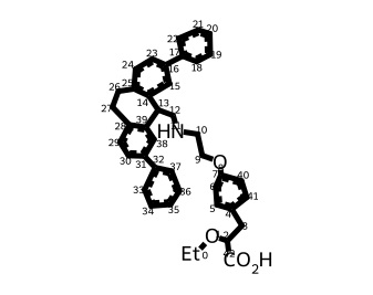 CCOC(Cc1ccc(OCCNCC2c3cc(-c4ccccc4)ccc3CCc3ccc(-c4ccccc4)cc32)cc1)C(=O)O